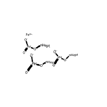 CCCCCCCO[PH](=O)[O-].CCCCCCCO[PH](=O)[O-].CCCCCCCO[PH](=O)[O-].[Fe+3]